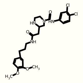 COc1ccc(CCCNC(=O)CC2CN(C(=O)Nc3ccc(Cl)c(Cl)c3)CCN2)cc1OC